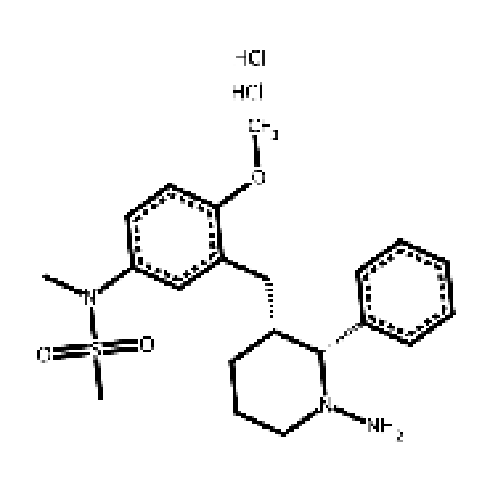 CN(c1ccc(OC(F)(F)F)c(C[C@H]2CCCN(N)[C@H]2c2ccccc2)c1)S(C)(=O)=O.Cl.Cl